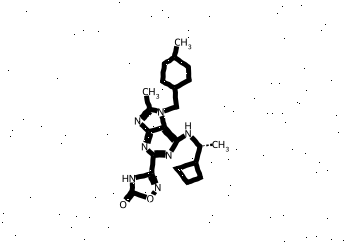 Cc1nc2nc(-c3noc(=O)[nH]3)nc(N[C@H](C)C3CCC3)c2n1CC1CCC(C)CC1